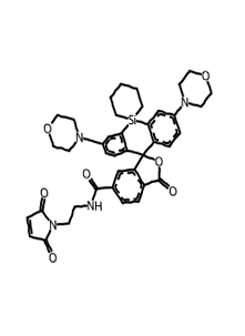 O=C(NCCN1C(=O)C=CC1=O)c1ccc2c(c1)C1(OC2=O)c2ccc(N3CCOCC3)cc2[Si]2(CCCCC2)c2cc(N3CCOCC3)ccc21